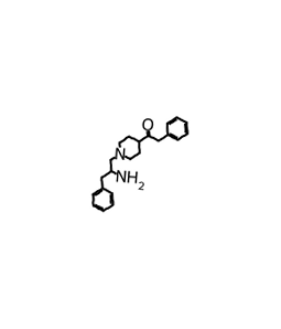 NC(Cc1ccccc1)CN1CCC(C(=O)Cc2ccccc2)CC1